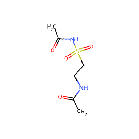 CC(=O)NCCS(=O)(=O)NC(C)=O